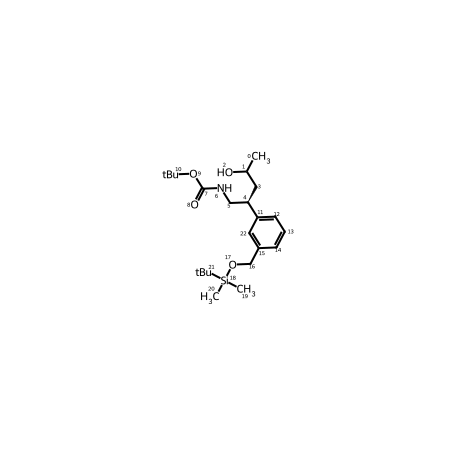 CC(O)C[C@H](CNC(=O)OC(C)(C)C)c1cccc(CO[Si](C)(C)C(C)(C)C)c1